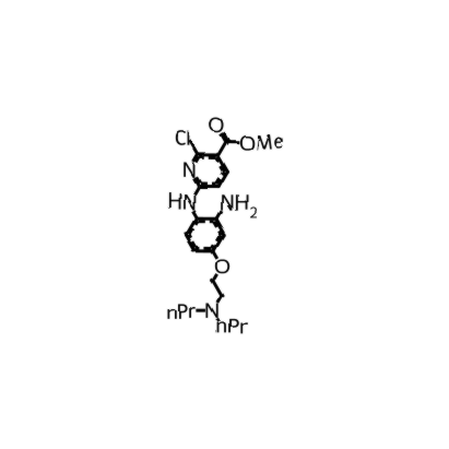 CCCN(CCC)CCOc1ccc(Nc2ccc(C(=O)OC)c(Cl)n2)c(N)c1